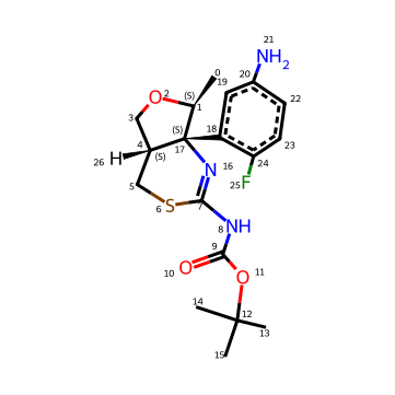 C[C@@H]1OC[C@H]2CSC(NC(=O)OC(C)(C)C)=N[C@]21c1cc(N)ccc1F